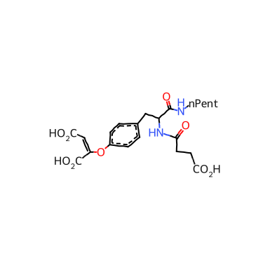 CCCCCNC(=O)C(Cc1ccc(OC(=CC(=O)O)C(=O)O)cc1)NC(=O)CCC(=O)O